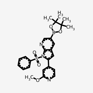 COc1cc(-c2cc3cc(B4OC(C)(C)C(C)(C)O4)cnc3n2S(=O)(=O)c2ccccc2)ccn1